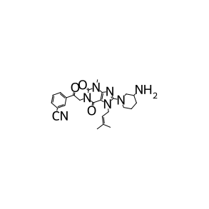 CC(C)=CCn1c(N2CCCC(N)C2)nc2c1c(=O)n(CC(=O)c1cccc(C#N)c1)c(=O)n2C